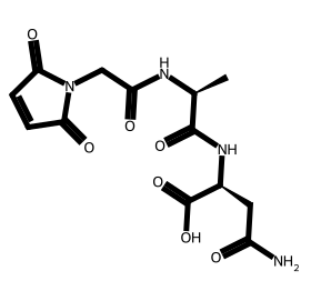 C[C@H](NC(=O)CN1C(=O)C=CC1=O)C(=O)N[C@@H](CC(N)=O)C(=O)O